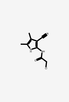 Cc1[nH]c(NC(=O)CCl)c(C#N)c1C